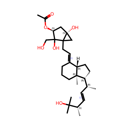 CC(=O)O[C@H]1C[C@@]2(O)CC2(C/C=C2\CCC[C@]3(C)[C@@H]([C@H](C)/C=C/[C@H](C)C(C)(C)O)CC[C@@H]23)C1(O)CO